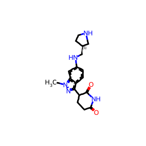 Cn1nc(C2CCC(=O)NC2=O)c2ccc(NC[C@H]3CCNC3)cc21